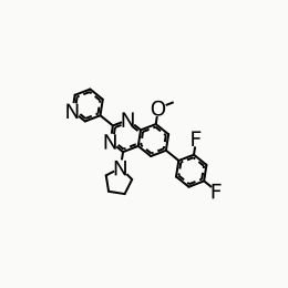 COc1cc(-c2ccc(F)cc2F)cc2c(N3CCCC3)nc(-c3cccnc3)nc12